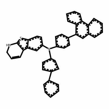 C1=Cc2c(sc3ccc(N(c4ccc(-c5ccccc5)cc4)c4ccc(-c5cc6ccccc6c6ccccc56)cc4)cc23)NC1